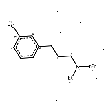 CCCN(CC)CCCc1cccc(O)c1